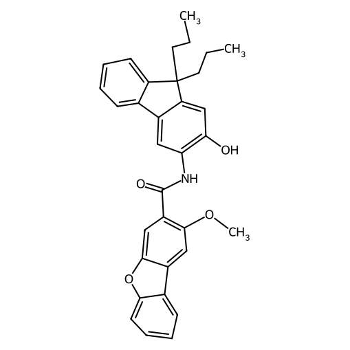 CCCC1(CCC)c2ccccc2-c2cc(NC(=O)c3cc4oc5ccccc5c4cc3OC)c(O)cc21